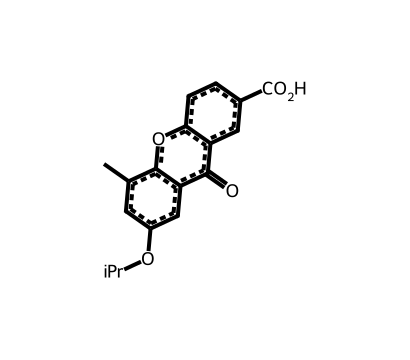 Cc1cc(OC(C)C)cc2c(=O)c3cc(C(=O)O)ccc3oc12